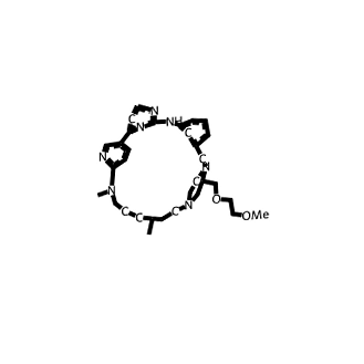 COCCOCC1CN2CCC(C)CCCN(C)c3ccc(cn3)-c3ccnc(n3)Nc3cccc(c3)CN1CC2